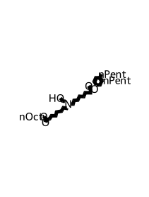 CCCCCCCCOC(=O)CCCCCCCN(CCO)CCCCCCCC(=O)OC1C=CC(CCCCC)=C(CCCCC)C1